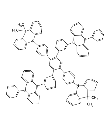 CC1(C)c2ccccc2N(c2ccc(-c3cc(-c4cccc(B5c6ccccc6B(c6ccccc6)c6ccccc65)c4)c(-c4ccc(N5c6ccccc6C(C)(C)c6ccccc65)cc4)nc3-c3cccc(B4c5ccccc5B(c5ccccc5)c5ccccc54)c3)cc2)c2ccccc21